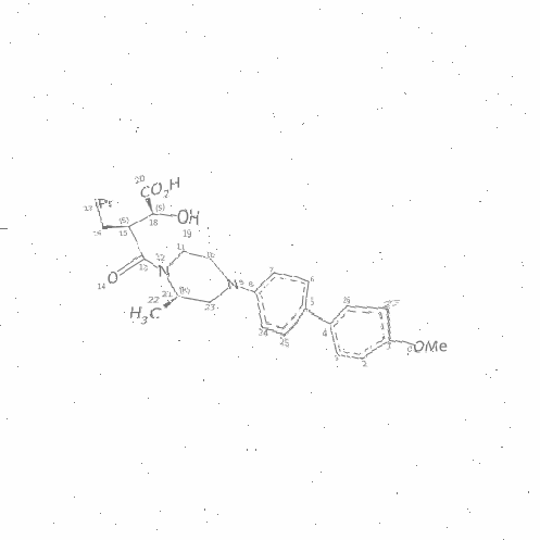 COc1ccc(-c2ccc(N3CCN(C(=O)[C@@H](CC(C)C)[C@H](O)C(=O)O)[C@H](C)C3)cc2)cc1